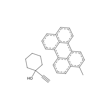 C#CC1(O)CCCCC1.Cc1ccc2c3cccc4cccc(c5cccc1c52)c43